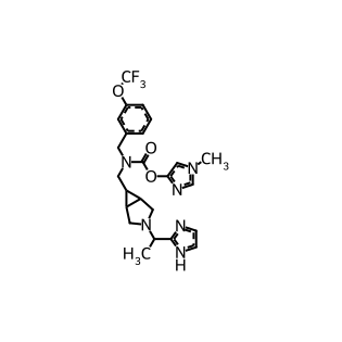 CC(c1ncc[nH]1)N1CC2C(CN(Cc3cccc(OC(F)(F)F)c3)C(=O)Oc3cn(C)cn3)C2C1